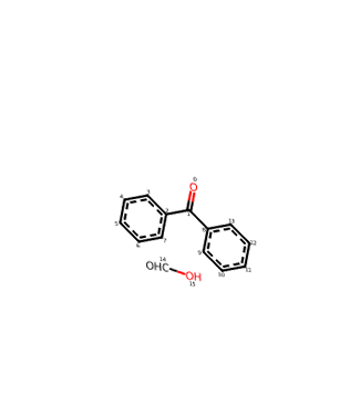 O=C(c1ccccc1)c1ccccc1.O=CO